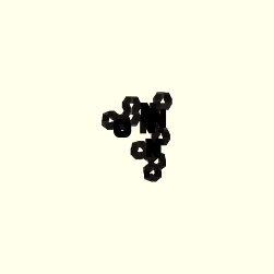 C1=CCC2C(=C1)c1c(ccc3ccccc13)N2c1cccc(-c2nc(-c3ccccc3)nc(-c3cc4oc5ccccc5c4c4ccccc34)n2)c1